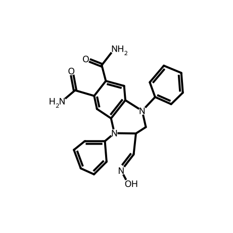 NC(=O)c1cc2c(cc1C(N)=O)N(c1ccccc1)C(C=NO)CN2c1ccccc1